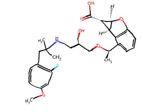 COc1ccc(CC(C)(C)NC[C@@H](O)CO[C@H](C)c2cccc3c2[C@@H]2[C@H](O3)[C@H]2C(=O)O)c(F)c1